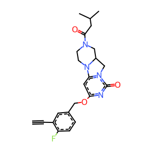 C#Cc1cc(COc2cc3n(c(=O)n2)CC2CN(C(=O)CC(C)C)CCN32)ccc1F